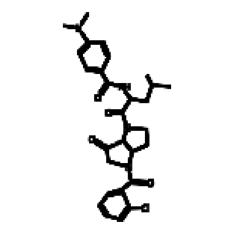 CC(C)CC(NC(=O)c1ccc(N(C)C)cc1)C(=O)N1CCC2C1C(=O)CN2C(=O)c1ccccc1Cl